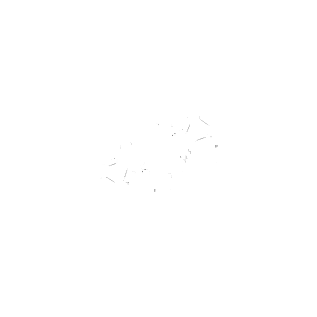 CCCC(CNC1CCCc2cccc(OC)c21)COC1CCCc2ccccc21.Cl